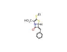 CCSC1=C(C(=O)O)N2C(=O)C(=Cc3ccccc3)[C@H]2S1